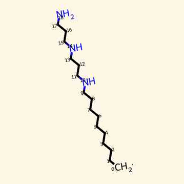 [CH2]CCCCCCCCCNCCCNCCCN